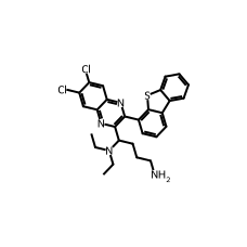 CCN(CC)C(CCCN)c1nc2cc(Cl)c(Cl)cc2nc1-c1cccc2c1sc1ccccc12